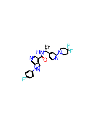 CC[C@H](NC(=O)c1cncc2c1cnn2-c1ccc(F)cc1)c1ccnc(N2CCC(F)(F)CC2)c1